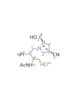 CCCC(CN1C[C@H](C#N)C[C@@H]1C(=O)O)C(C)NC(C)=O.Cl